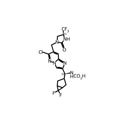 O=C(O)N[C@H](c1cn2nc(Cl)c(CN3C[C@@H](C(F)(F)F)NC3=O)cc2n1)C1CC2C(C1)C2(F)F